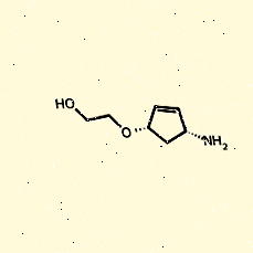 N[C@H]1C=C[C@@H](OCCO)C1